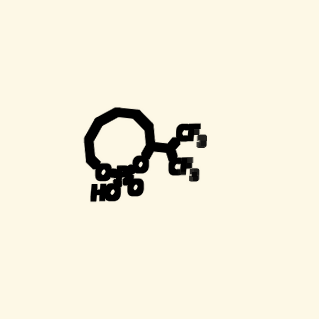 O=P1(O)OCCCCCCC(C(C(F)(F)F)C(F)(F)F)O1